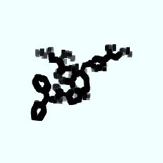 CCC(O)c1cn(C[C@H]2CC[C@H]3CC[C@@H](C(=O)NC(c4ccccc4)c4ccccc4)N3C(=O)[C@H]2NC(=O)[C@@H](N)CC)nn1